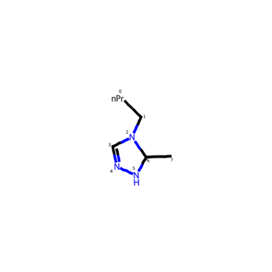 CCCCN1C=NNC1C